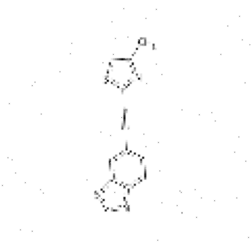 Cc1csc(C#Cc2ccc3ncsc3c2)n1